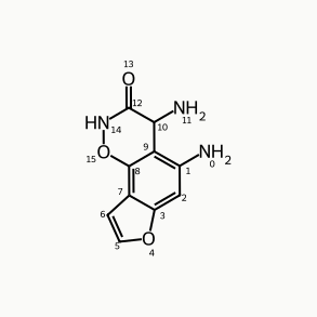 Nc1cc2occc2c2c1C(N)C(=O)NO2